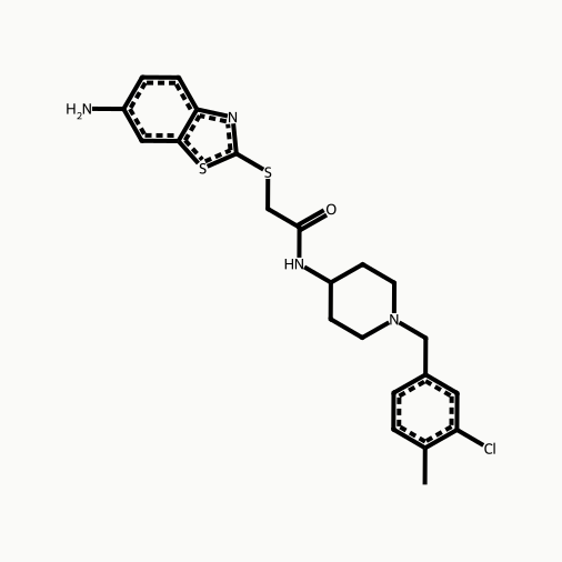 Cc1ccc(CN2CCC(NC(=O)CSc3nc4ccc(N)cc4s3)CC2)cc1Cl